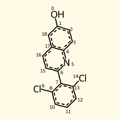 Oc1ccc2nc(-c3c(Cl)cccc3Cl)ccc2c1